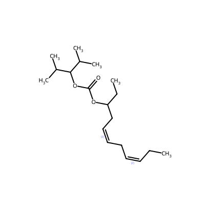 CC/C=C\C/C=C\CC(CC)OC(=O)OC(C(C)C)C(C)C